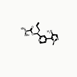 C=CC[C@H](OC(=O)N(CCCC)C(C)(C)C)c1cc(-c2c(N)cnn2C)ccn1